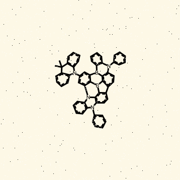 CC1(C)c2ccccc2N(c2cc3c4c(c2)N2c5ccccc5N(c5ccccc5)c5ccc6c(c52)B4c2c-6ccc4c2B3c2ccccc2N4c2ccccc2)c2ccccc21